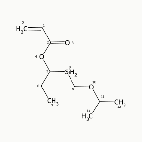 C=CC(=O)OC(CC)[SiH2]COC(C)C